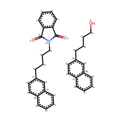 O=C1c2ccccc2C(=O)N1CCCCc1ccc2ccccc2c1.OCCCCc1ccc2ccccc2c1